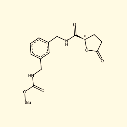 CC(C)(C)OC(=O)NCc1cccc(CNC(=O)[C@H]2CCC(=O)O2)c1